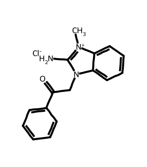 C[n+]1c(N)n(CC(=O)c2ccccc2)c2ccccc21.[Cl-]